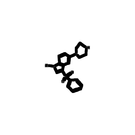 CC(C)n1cc(S(=O)(=O)c2ccccc2)c2cc(N3CCNCC3)ccc21